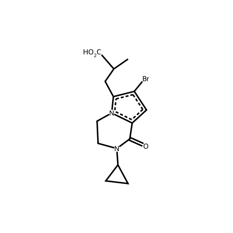 CC(Cc1c(Br)cc2n1CCN(C1CC1)C2=O)C(=O)O